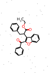 CCOC(=O)C(Cc1ccccc1)c1c(C(=O)c2ccccc2)oc2ccccc12